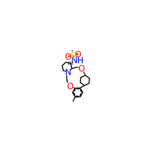 Cc1ccc2c(c1)OCCN1CCC[C@H](NS(C)(=O)=O)C1COC1CCC2CC1